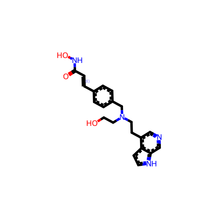 O=C(/C=C/c1ccc(CN(CCO)CCc2cncc3[nH]ccc23)cc1)NO